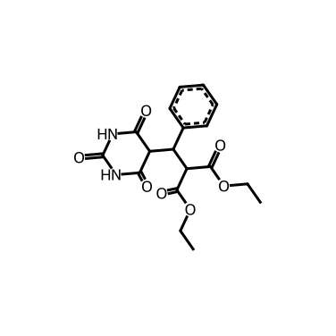 CCOC(=O)C(C(=O)OCC)C(c1ccccc1)C1C(=O)NC(=O)NC1=O